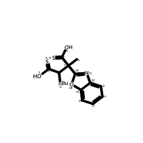 CCCCC(C(O)=S)C(C)(C(O)=S)c1nc2ccccc2o1